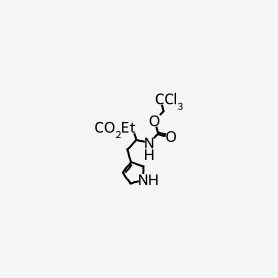 CCOC(=O)C(CC1=CCNC1)NC(=O)OCC(Cl)(Cl)Cl